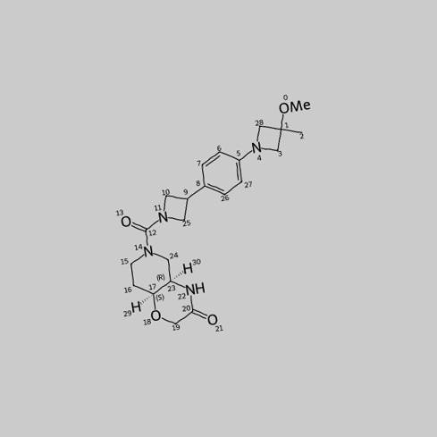 COC1(C)CN(c2ccc(C3CN(C(=O)N4CC[C@@H]5OCC(=O)N[C@@H]5C4)C3)cc2)C1